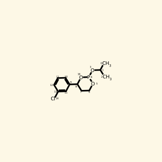 CC(C)OP1OCCC(c2cccc(Cl)c2)O1